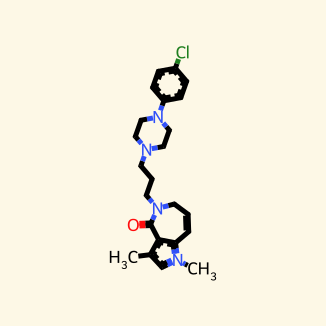 Cc1cn(C)c2c1C(=O)N(CCCN1CCN(c3ccc(Cl)cc3)CC1)CC=C2